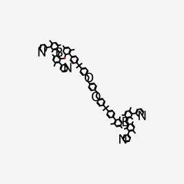 CC1=CC(C)=C(c2ccc(C(C)(C)c3ccc(OCc4ccc(COc5ccc(C(C)(C)c6ccc(-c7c(C)cc(C)c(B(c8c(C)cc(C)c(-c9cccnc9)c8C)c8c(C)cc(C)c(-c9cccnc9)c8C)c7C)cc6)cc5)cc4)cc3)cc2)C(C)C1B(c1c(C)cc(C)c(-c2cccnc2)c1C)c1c(C)cc(C)c(-c2cccnc2)c1C